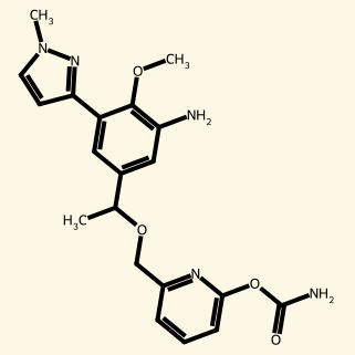 COc1c(N)cc(C(C)OCc2cccc(OC(N)=O)n2)cc1-c1ccn(C)n1